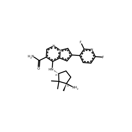 CC1(C)[C@H](Nc2c(C(N)=O)cnn3cc(-c4ccc(F)nc4F)cc23)CC[C@]1(C)N